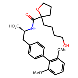 COc1cccc(OC)c1-c1ccc(C[C@H](NC(=O)C2(CCCCO)CCCO2)C(=O)O)cc1